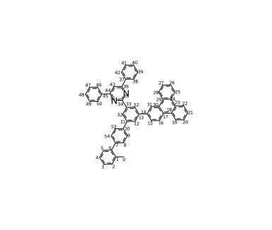 Cc1ccccc1-c1ccc(-c2cc(-c3ccc4c5ccccc5c5ccccc5c4c3)cc(-c3nc(-c4ccccc4)cc(-c4ccccc4)n3)c2)cc1